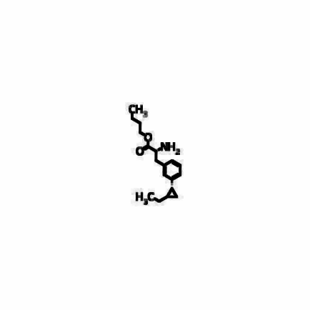 CCCCOC(=O)[C@@H](N)Cc1cccc([C@@H]2CC2CC)c1